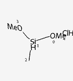 CO[SiH](C)OC.Cl